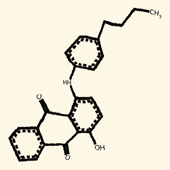 CCCCc1ccc(Nc2ccc(O)c3c2C(=O)c2ccccc2C3=O)cc1